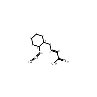 O=C=NC1CCCCC1CC=CC(=O)Cl